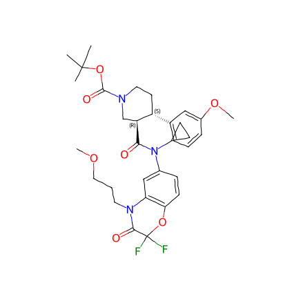 COCCCN1C(=O)C(F)(F)Oc2ccc(N(C(=O)[C@H]3CN(C(=O)OC(C)(C)C)CC[C@@H]3c3cccc(OC)c3)C3CC3)cc21